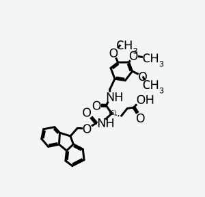 COc1cc(CNC(=O)[C@H](CCC(=O)O)NC(=O)OCC2c3ccccc3-c3ccccc32)cc(OC)c1OC